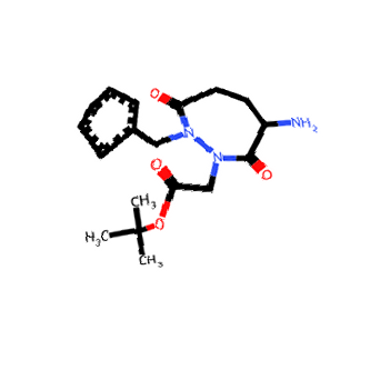 CC(C)(C)OC(=O)CN1C(=O)C(N)CCC(=O)N1Cc1ccccc1